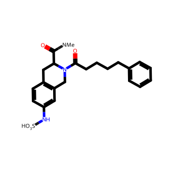 CNC(=O)C1Cc2ccc(NS(=O)(=O)O)cc2CN1C(=O)CCCCc1ccccc1